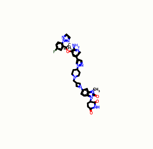 C[C@@H](Oc1cc(-c2cnn(C3CCN(CC4CN(c5ccc6c(c5)n(C)c(=O)n6C5CCC(=O)NC5=O)C4)CC3)c2)cnc1N)c1cc(F)ccc1-n1nccn1